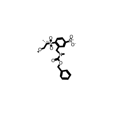 COC[C@H](C)S(=O)(=O)c1ccc([N+](=O)[O-])cc1CN(C)C(=O)OCc1ccccc1